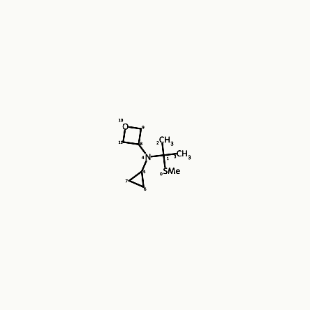 CSC(C)(C)N(C1CC1)C1COC1